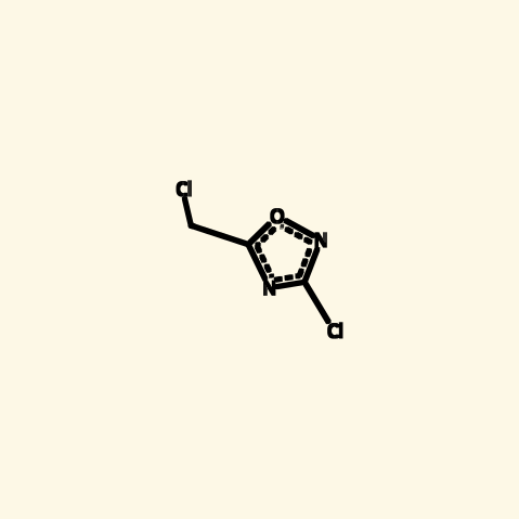 ClCc1nc(Cl)no1